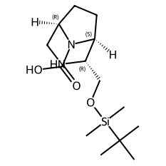 CC(C)(C)[Si](C)(C)OC[C@@H]1NC[C@H]2CC[C@@H]1N2C(=O)O